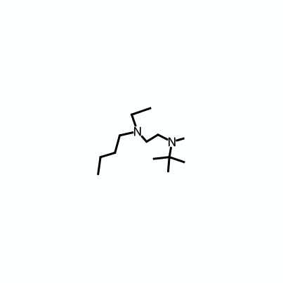 CCCCN(CC)CCN(C)C(C)(C)C